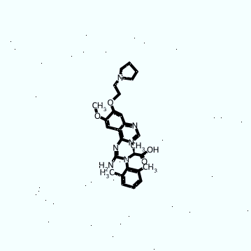 COc1cc2c(N=C(N)N(c3c(C)cccc3C)[C@@H](C)C(=O)O)ncnc2cc1OCCN1CCCC1